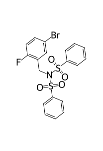 O=S(=O)(c1ccccc1)N(Cc1cc(Br)ccc1F)S(=O)(=O)c1ccccc1